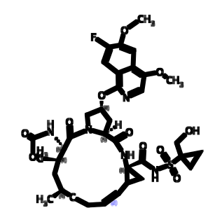 COc1cc2c(OC)cnc(O[C@@H]3C[C@H]4C(=O)N[C@]5(C(=O)NS(=O)(=O)C6(CO)CC6)CC5/C=C\CC[C@@H](C)C[C@@H](C)[C@H](NC(=O)O)C(=O)N4C3)c2cc1F